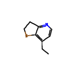 CCc1ccnc2c1SCC2